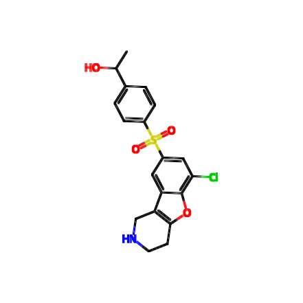 CC(O)c1ccc(S(=O)(=O)c2cc(Cl)c3oc4c(c3c2)CNCC4)cc1